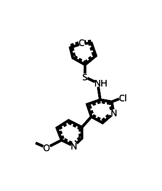 COc1ccc(-c2cnc(Cl)c(NSc3ccccc3)c2)cn1